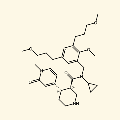 COCCCc1cc(CCCOC)c(OC)c(CN(C(=O)[C@H]2CNCC[C@@H]2c2ccn(C)c(=O)c2)C2CC2)c1